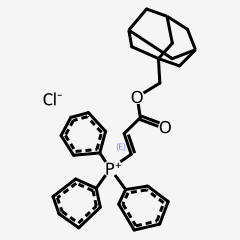 O=C(/C=C/[P+](c1ccccc1)(c1ccccc1)c1ccccc1)OCC12CC3CC(CC(C3)C1)C2.[Cl-]